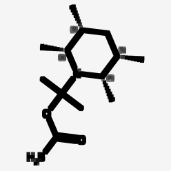 BC(=O)OC(C)(C)N1[C@H](C)[C@H](C)C[C@H](C)[C@@H]1C